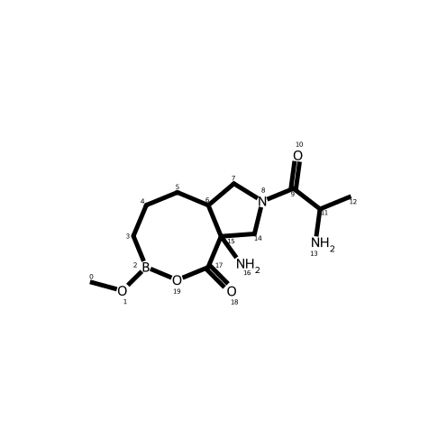 COB1CCCC2CN(C(=O)C(C)N)CC2(N)C(=O)O1